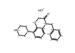 Cl.O=C1COc2c(N3CCNCC3)cccc2N1Cc1ccccc1